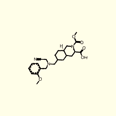 COC(=O)N1C[C@@H]2CCC(CN(CC#N)Cc3ccccc3OC)CC2CC1C(=O)O